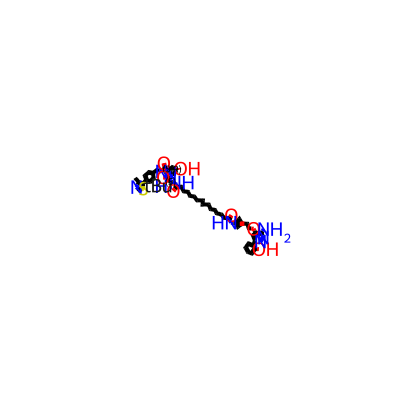 Cc1ncsc1-c1ccc(CNC(=O)[C@@H]2C[C@@H](O)CN2C(=O)[C@@H](NC(=O)CCCCCCCCCCCCCCC(=O)NC23CC(CCOc4cc(-c5ccccc5O)nnc4N)(C2)C3)C(C)(C)C)cc1